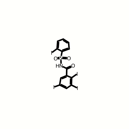 O=C(NS(=O)(=O)c1ccccc1I)c1cc(I)cc(I)c1I